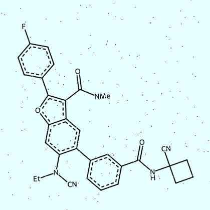 CCN(C#N)c1cc2oc(-c3ccc(F)cc3)c(C(=O)NC)c2cc1-c1cccc(C(=O)NC2(C#N)CCC2)c1